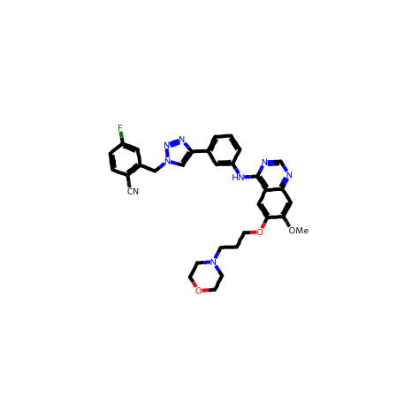 COc1cc2ncnc(Nc3cccc(-c4cn(Cc5cc(F)ccc5C#N)nn4)c3)c2cc1OCCCN1CCOCC1